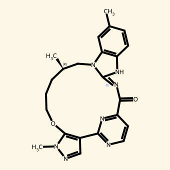 Cc1ccc2c(c1)N1C[C@H](C)CCCOc3c(cnn3C)-c3nccc(n3)C(=O)/N=C/1N2